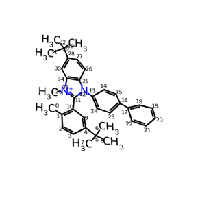 Cc1ccc(C(C)(C)C)cc1-c1n(-c2ccc(-c3ccccc3)cc2)c2ccc(C(C)(C)C)cc2[n+]1C